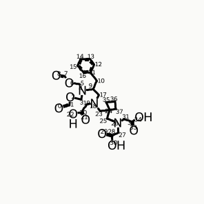 O=COCN(COC=O)C(Cc1ccccc1)CN(CC(=O)O)CC1(CN(CC(=O)O)CC(=O)O)CCC1